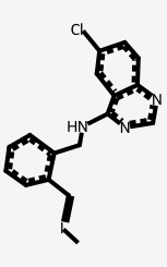 C/I=C/c1ccccc1CNc1ncnc2ccc(Cl)cc12